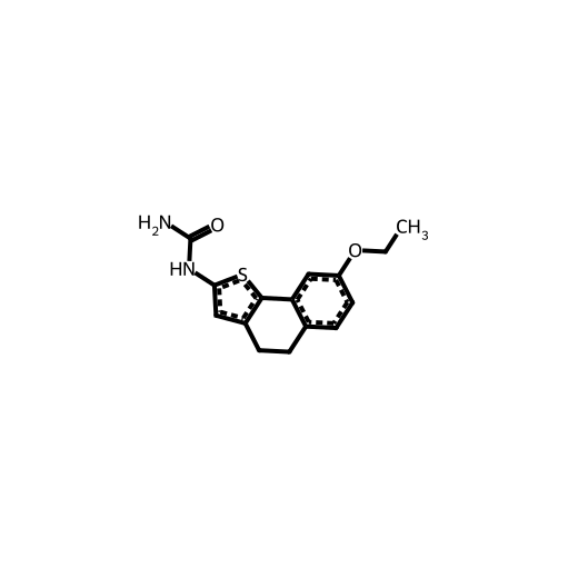 CCOc1ccc2c(c1)-c1sc(NC(N)=O)cc1CC2